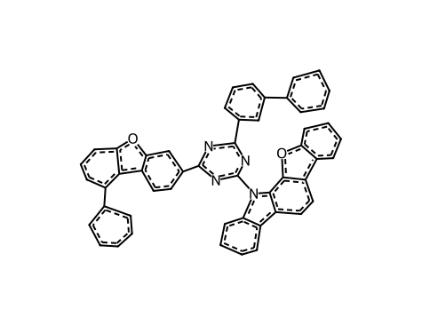 c1ccc(-c2cccc(-c3nc(-c4ccc5c(c4)oc4cccc(-c6ccccc6)c45)nc(-n4c5ccccc5c5ccc6c7ccccc7oc6c54)n3)c2)cc1